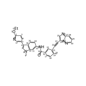 CCOc1ccc(-c2cn(C)c3cc(NC(=O)c4ccc(C)c(C#Cc5cnc6cccnn56)c4)ccc23)cn1